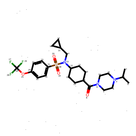 CC(C)N1CCN(C(=O)C2CCC(N(CC3CC3)S(=O)(=O)c3ccc(OC(F)(F)F)cc3)CC2)CC1